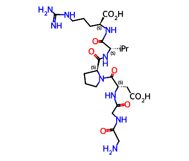 CC(C)[C@H](NC(=O)[C@@H]1CCCN1C(=O)[C@H](CC(=O)O)NC(=O)CNC(=O)CN)C(=O)N[C@@H](CCCNC(=N)N)C(=O)O